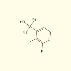 [2H]C([2H])(O)c1cccc(F)c1C